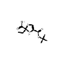 CCC1(C(=O)O)NC(C(=O)OC(C)(C)C)=CS1